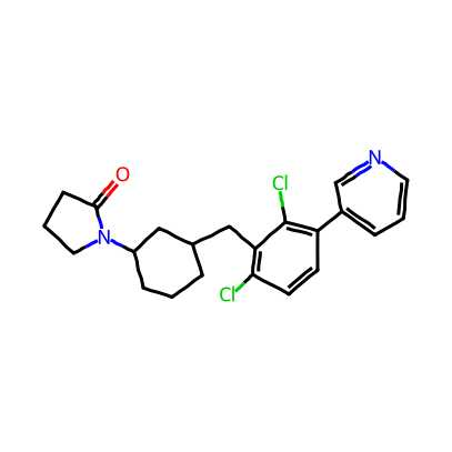 O=C1CCCN1C1CCCC(Cc2c(Cl)ccc(-c3cccnc3)c2Cl)C1